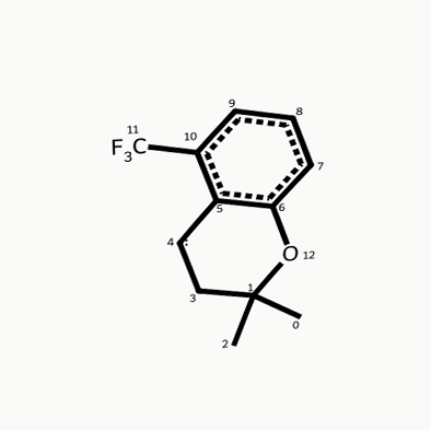 CC1(C)C[C]c2c(cccc2C(F)(F)F)O1